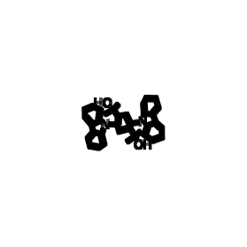 CC(C)(O)c1cc(-n2c3ccccc3c3ccccc32)c(C(C)(C)O)cc1-n1c2ccccc2c2ccccc21